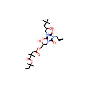 C=CCn1c(=O)n(CC(O)COC(=O)CC(C)(C)C(=O)OC(C)(C)CC)c(=O)n(CC(O)CC(C)(C)C)c1=O